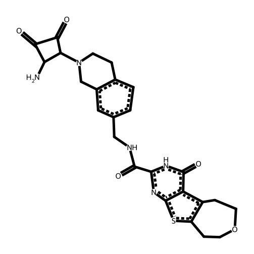 NC1C(=O)C(=O)C1N1CCc2ccc(CNC(=O)c3nc4sc5c(c4c(=O)[nH]3)CCOCC5)cc2C1